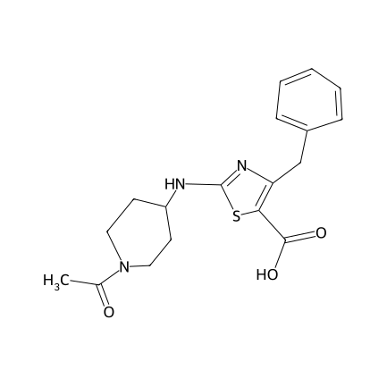 CC(=O)N1CCC(Nc2nc(Cc3ccccc3)c(C(=O)O)s2)CC1